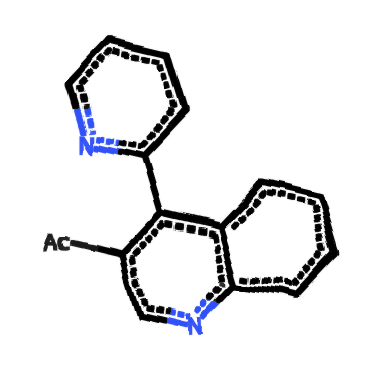 CC(=O)c1cnc2ccccc2c1-c1ccccn1